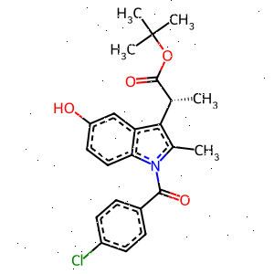 Cc1c([C@@H](C)C(=O)OC(C)(C)C)c2cc(O)ccc2n1C(=O)c1ccc(Cl)cc1